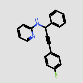 Fc1ccc(C#CC(Nc2ccccn2)c2ccccc2)cc1